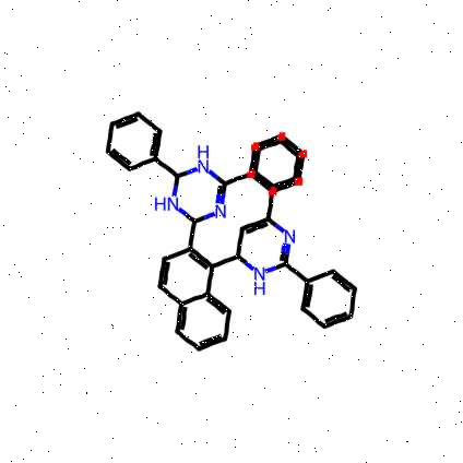 C1=C(c2ccccc2)N=C(c2ccccc2)NC1c1c(C2N=C(c3ccccc3)NC(c3ccccc3)N2)ccc2ccccc12